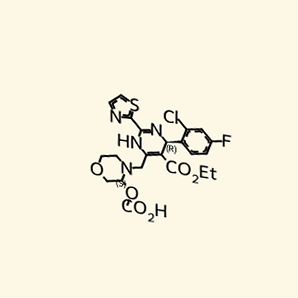 CCOC(=O)C1=C(CN2CCOC[C@@H]2OC(=O)O)NC(c2nccs2)=N[C@H]1c1ccc(F)cc1Cl